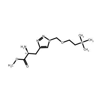 COC(=O)[C@@H](N)Cc1cn(COCC[Si](C)(C)C)nn1